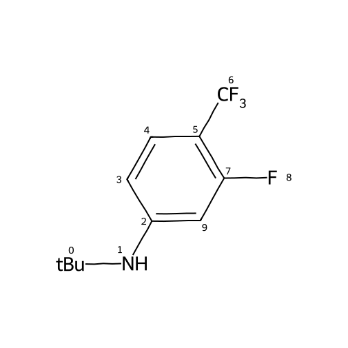 CC(C)(C)Nc1ccc(C(F)(F)F)c(F)c1